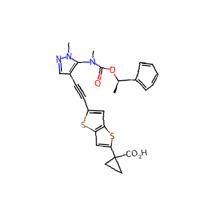 C[C@@H](OC(=O)N(C)c1c(C#Cc2cc3sc(C4(C(=O)O)CC4)cc3s2)cnn1C)c1ccccc1